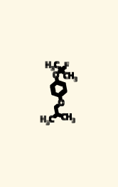 CC(C)COc1ccc(OC(C)(C)F)cc1